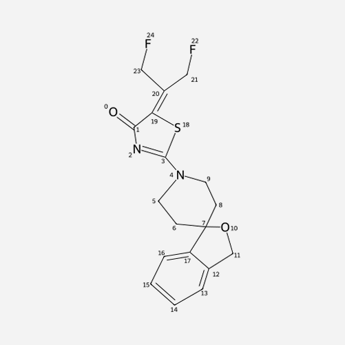 O=C1N=C(N2CCC3(CC2)OCc2ccccc23)SC1=C(CF)CF